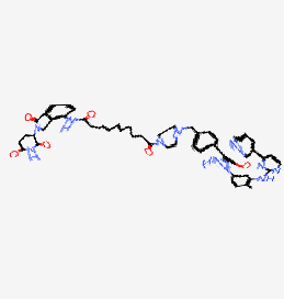 Cc1ccc(NC(=O)c2ccc(CN3CCN(C(=O)CCCCCCCCC(=O)Nc4cccc5c4CN(C4CCC(=O)NC4=O)C5=O)CC3)cc2)cc1Nc1nccc(-c2cccnc2)n1